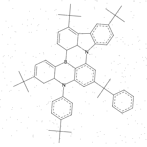 CC(C)(C)C1=CC=C2B3c4c(cc(C(C)(C)c5ccccc5)cc4N4c5ccc(C(C)(C)C)cc5C5=C(C(C)(C)C)C=CC3C54)N(c3ccc(C(C)(C)C)cc3)C2C1